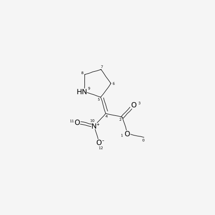 COC(=O)/C(=C1\CCCN1)[N+](=O)[O-]